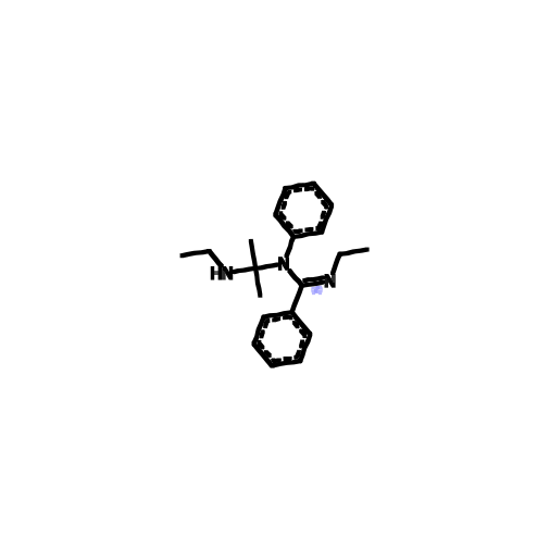 CC/N=C(/c1ccccc1)N(c1ccccc1)C(C)(C)NCC